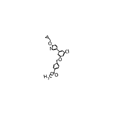 COC(=O)c1ccc(COc2cc(Cl)cc(-c3ccc(OCC4CC4)nc3)c2)cc1